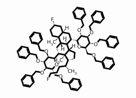 C[C@H](CCCF)[C@H]1CC[C@H]2[C@@H]3[C@@H](C4O[C@H](COCc5ccccc5)[C@@H](OCc5ccccc5)[C@H](OCc5ccccc5)[C@H]4OCc4ccccc4)C[C@@H]4C[C@@H](F)CC[C@]4(C)[C@H]3C[C@@H]([C@@H]3O[C@H](COCc4ccccc4)[C@@H](OCc4ccccc4)[C@H](OCc4ccccc4)[C@H]3OCc3ccccc3)[C@]12C